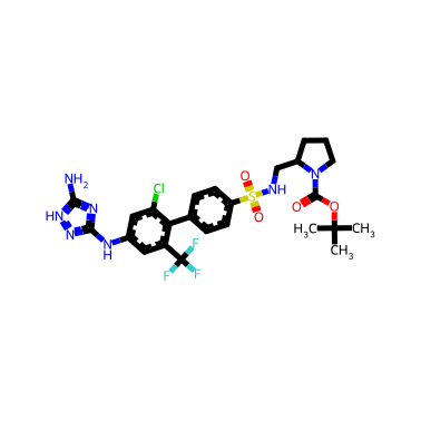 CC(C)(C)OC(=O)N1CCCC1CNS(=O)(=O)c1ccc(-c2c(Cl)cc(Nc3n[nH]c(N)n3)cc2C(F)(F)F)cc1